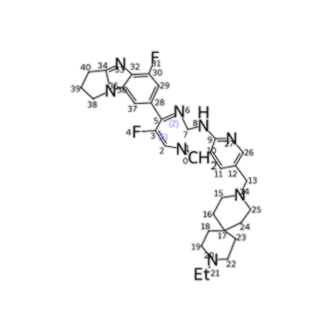 C=N/C=C(F)\C(=N/CNc1ccc(CN2CCC3(CCN(CC)CC3)CC2)cn1)c1cc(F)c2nc3n(c2c1)CCC3